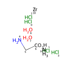 Cl.Cl.Cl.Cl.NCC(=O)O.O.O.[AlH3].[Zr]